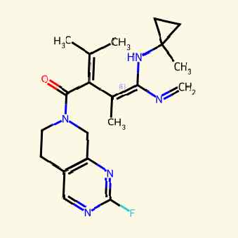 C=N/C(NC1(C)CC1)=C(\C)C(C(=O)N1CCc2cnc(F)nc2C1)=C(C)C